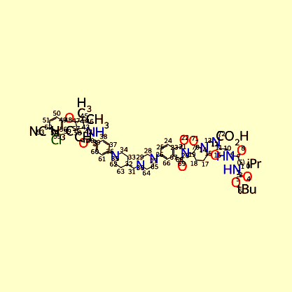 CC(C)[C@H](NC(=O)OC(C)(C)C)C(=O)NCCN(CN1C(=O)CCC(N2C(=O)c3ccc(N4CCN(CC5CCN(c6ccc(C(=O)N[C@H]7C(C)(C)[C@H](Oc8ccc(C#N)c(Cl)c8)C7(C)C)cc6)CC5)CC4)cc3C2=O)C1=O)C(=O)O